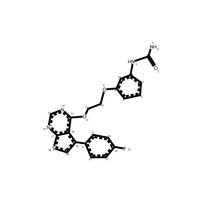 NC(=O)Nc1cccc(OCCOc2ncnc3scc(-c4ccc(F)cc4)c23)c1